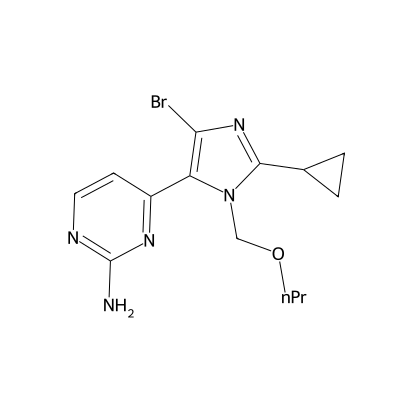 CCCOCn1c(C2CC2)nc(Br)c1-c1ccnc(N)n1